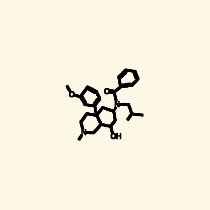 COc1cccc(C23CCN(C)CC2C(O)C[C@H](N(CC(C)C)C(=O)c2ccccc2)C3)c1